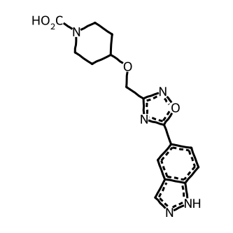 O=C(O)N1CCC(OCc2noc(-c3ccc4[nH]ncc4c3)n2)CC1